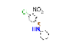 O=[N+]([O-])c1cc(SNC2CCCCC2)ccc1Cl